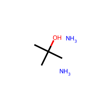 CC(C)(C)O.N.N